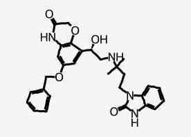 CC(C)(CCn1c(=O)[nH]c2ccccc21)NC[C@H](O)c1cc(OCc2ccccc2)cc2c1OCC(=O)N2